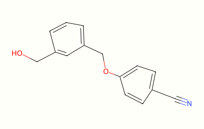 N#Cc1ccc(OCc2cccc(CO)c2)cc1